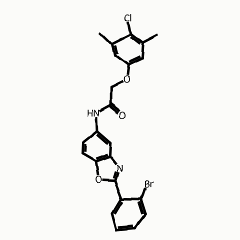 Cc1cc(OCC(=O)Nc2ccc3oc(-c4ccccc4Br)nc3c2)cc(C)c1Cl